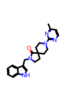 Cc1ccnc(N2CCC3(CCN(Cc4c[nH]c5ccccc45)C3=O)CC2)n1